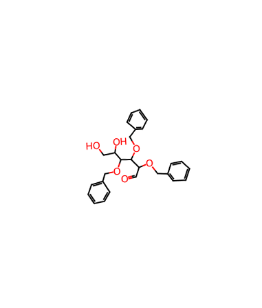 O=CC(OCc1ccccc1)C(OCc1ccccc1)C(OCc1ccccc1)C(O)CO